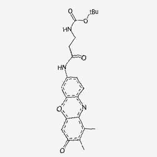 Cc1c2nc3ccc(NC(=O)CCNC(=O)OC(C)(C)C)cc3oc-2cc(=O)c1C